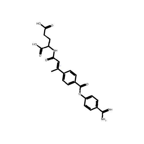 C/C(=C\C(=O)NC(CCC(=O)O)C(=O)O)c1ccc(C(=O)Oc2ccc(C(=N)N)cc2)cc1